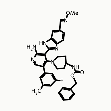 CON=Cc1ccc2nc(-c3c(N)ncc(-c4cc(C)cc(F)c4)c3N3CCC(NC(=O)OCc4ccccc4)CC3)[nH]c2c1